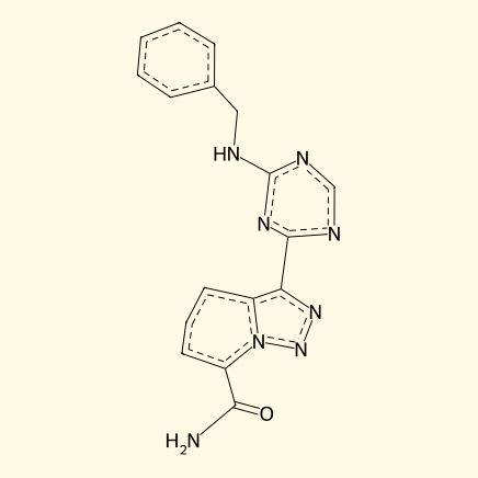 NC(=O)c1cccc2c(-c3ncnc(NCc4ccccc4)n3)nnn12